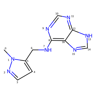 Cn1nccc1CNc1ncnc2[nH]cnc12